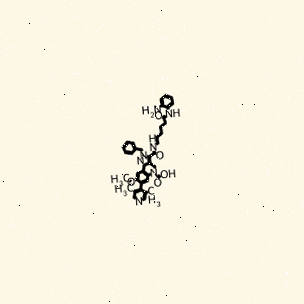 COc1cc2c(cc1-c1c(C)cncc1C)N(C(=O)O)Cc1c-2nn(Cc2ccccc2)c1C(=O)NCCCCCC(=O)Nc1ccccc1N